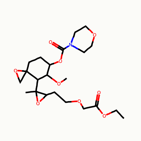 CCOC(=O)COCCC1OC1(C)C1C(OC)C(OC(=O)N2CCOCC2)CCC12CO2